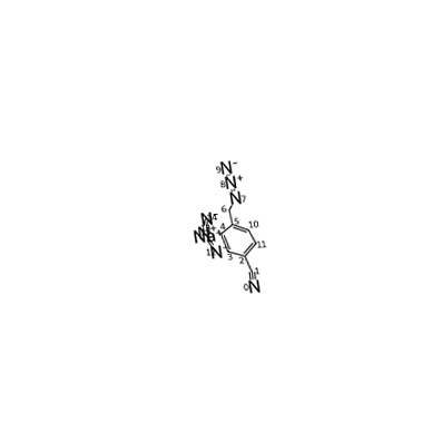 N#Cc1ccc(CN=[N+]=[N-])cc1.[N-]=[N+]=[N-].[Na+]